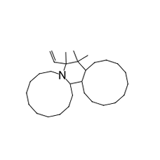 C=CC1(C)N2CCCCCCCCCCC2C2CCCCCCCCCCC2C1(C)C